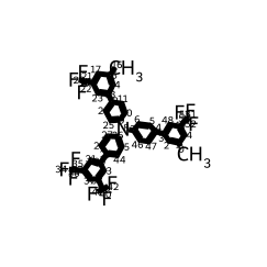 Cc1cc(-c2ccc(N(c3ccc(-c4cc(C)cc(C(F)(F)F)c4)cc3)c3ccc(-c4cc(C(F)(F)F)cc(C(F)(F)F)c4)cc3)cc2)cc(C(F)(F)F)c1